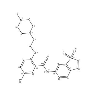 CN1CCN(CCOc2ccc(Cl)cc2C(=O)Nc2ccc3c(c2)S(=O)(=O)C=C3)CC1